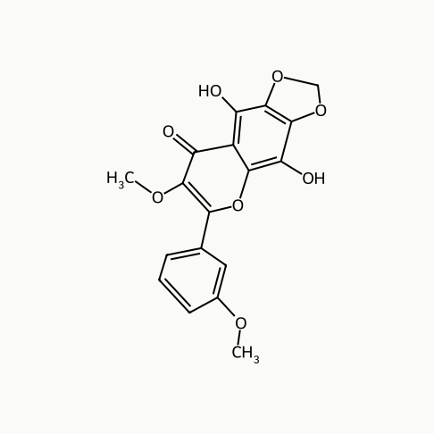 COc1cccc(-c2oc3c(O)c4c(c(O)c3c(=O)c2OC)OCO4)c1